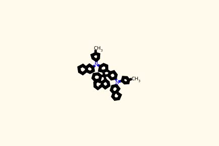 Cc1ccc(N(c2ccc3c(c2)C(c2ccccc2)(c2cccc4ccccc24)c2cc(N(c4ccc(C)cc4)c4ccc5ccccc5c4)ccc2-3)c2ccc3ccccc3c2)cc1